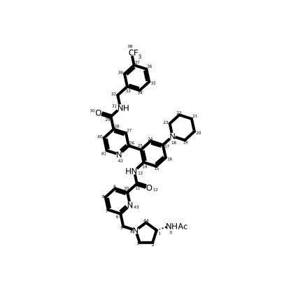 CC(=O)N[C@@H]1CCN(Cc2cccc(C(=O)Nc3ccc(N4CCCCC4)cc3-c3cc(C(=O)NCc4cccc(C(F)(F)F)c4)ccn3)n2)C1